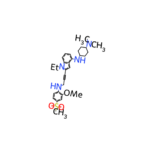 CCn1c(C#CCNc2ccc(S(C)(=O)=O)cc2OC)cc2c(NC3CCC(N(C)C)CC3)cccc21